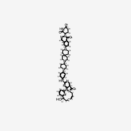 C[C@@]1(O)CC/C=C\Cn2c(=O)c3cnc(Nc4ccc(N5CCC(N6CCC7(CCN(c8ccc9c(=O)n(C%10CCC(=O)NC%10=O)ncc9c8)CC7)CC6)CC5)cc4)nc3n2-c2cccc1n2